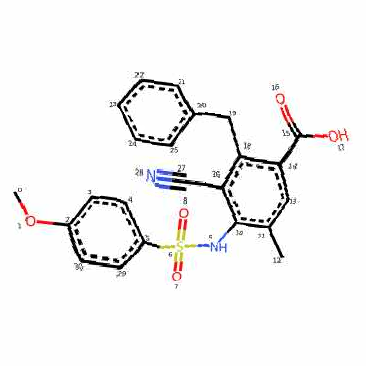 COc1ccc(S(=O)(=O)Nc2c(C)cc(C(=O)O)c(Cc3ccccc3)c2C#N)cc1